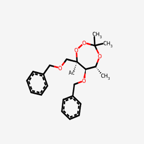 CC(=O)[C@]1(COCc2ccccc2)OOC(C)(C)O[C@H](C)[C@H]1OCc1ccccc1